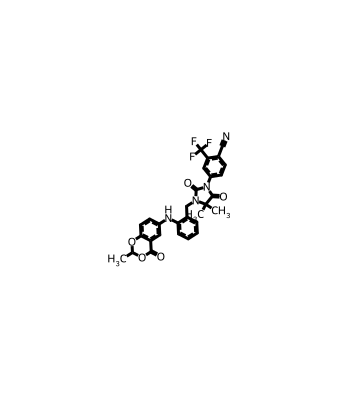 CC1OC(=O)c2cc(Nc3ccccc3CN3C(=O)N(c4ccc(C#N)c(C(F)(F)F)c4)C(=O)C3(C)C)ccc2O1